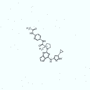 CC(=O)Nc1ccc(NC(=O)[C@]2(C)CCCN2c2nc(Nc3cc(C4CC4)[nH]n3)n3cccc3n2)cn1